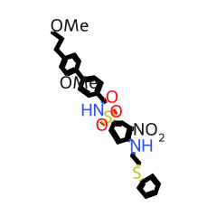 COCCCc1ccc(-c2ccc(C(=O)NS(=O)(=O)c3ccc(NCCSc4ccccc4)c([N+](=O)[O-])c3)cc2)c(OC)c1